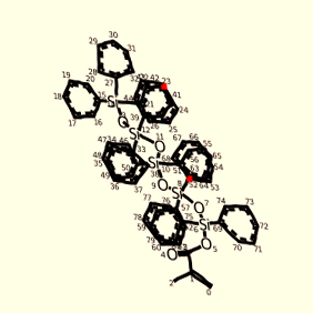 C=C(C)C(=O)O[Si](O[Si](O[Si](O[Si](O[Si](c1ccccc1)(c1ccccc1)c1ccccc1)(c1ccccc1)c1ccccc1)(c1ccccc1)c1ccccc1)(c1ccccc1)c1ccccc1)(c1ccccc1)c1ccccc1